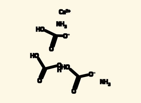 N.N.O=C(O)O.O=C([O-])O.O=C([O-])O.[Ca+2]